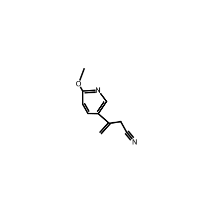 C=C(CC#N)c1ccc(OC)nc1